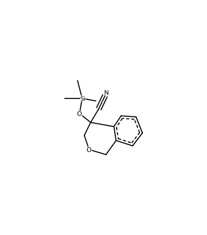 C[Si](C)(C)OC1(C#N)COCc2ccccc21